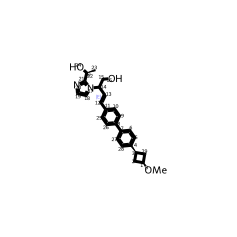 CO[C@H]1C[C@@H](c2ccc(-c3ccc(/C=C/C(CO)n4ccnc4[C@H](C)O)cc3)cc2)C1